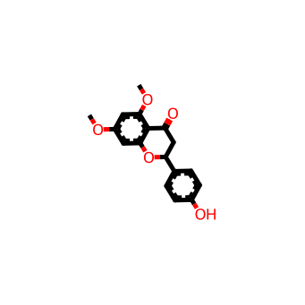 COc1cc(OC)c2c(c1)OC(c1ccc(O)cc1)CC2=O